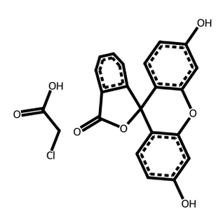 O=C(O)CCl.O=C1OC2(c3ccc(O)cc3Oc3cc(O)ccc32)c2ccccc21